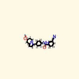 COC1CCn2c(ccc2-c2ccc(NC(=O)c3cccc(C#N)c3)cc2)C1